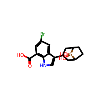 O=C(O)c1cc(Br)cc2c(C3CC4CCC(C3)S4(O)O)c[nH]c12